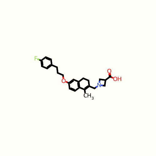 CC1=C(CN2CC(C(=O)O)C2)CCc2cc(OCCCc3ccc(F)cc3)ccc21